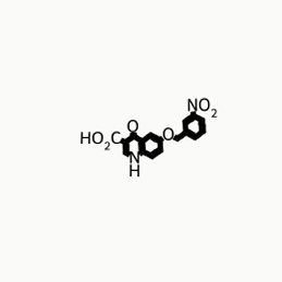 O=C(O)c1c[nH]c2ccc(OCc3cccc([N+](=O)[O-])c3)cc2c1=O